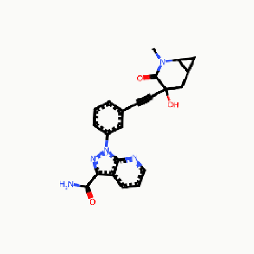 CN1C(=O)C(O)(C#Cc2cccc(-n3nc(C(N)=O)c4cccnc43)c2)CC2CC21